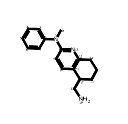 CN(c1ccccc1)c1ccc2c(n1)CCCC2CN